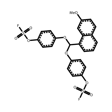 COc1ccc2cccc(C(Oc3ccc(OS(=O)(=O)F)cc3)Oc3ccc(OS(=O)(=O)F)cc3)c2c1